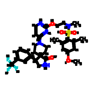 COc1cc(C)c(S(=O)(=O)N(C)CCOc2nccc(N3CCC4(CC3)C(=O)NCC4c3cccc(C(F)(F)F)c3)n2)c(C)c1